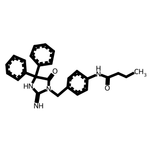 CCCC(=O)Nc1ccc(CN2C(=N)NC(c3ccccc3)(c3ccccc3)C2=O)cc1